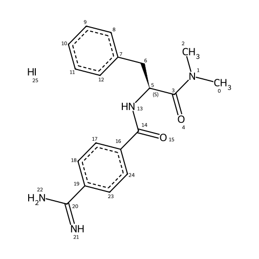 CN(C)C(=O)[C@H](Cc1ccccc1)NC(=O)c1ccc(C(=N)N)cc1.I